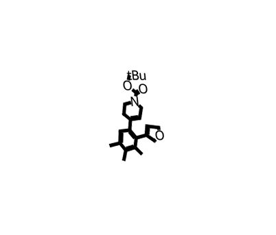 Cc1cc(C2=CCN(C(=O)OC(C)(C)C)CC2)c(C2=CCOC2)c(C)c1C